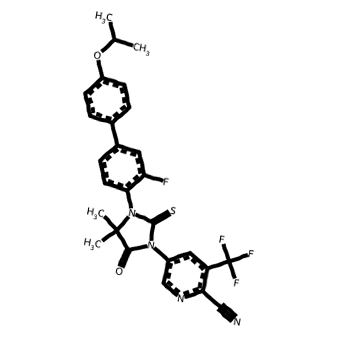 CC(C)Oc1ccc(-c2ccc(N3C(=S)N(c4cnc(C#N)c(C(F)(F)F)c4)C(=O)C3(C)C)c(F)c2)cc1